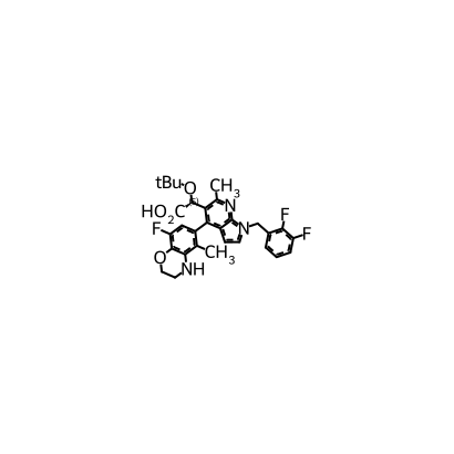 Cc1nc2c(ccn2Cc2cccc(F)c2F)c(-c2cc(F)c3c(c2C)NCCO3)c1[C@H](OC(C)(C)C)C(=O)O